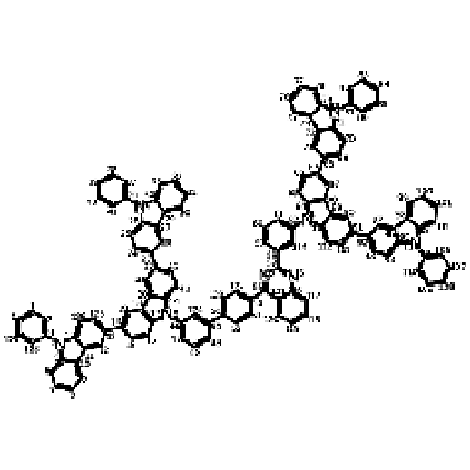 c1ccc(-n2c3ccccc3c3cc(-c4ccc5c(c4)c4cc(-c6ccc7c(c6)c6ccccc6n7-c6ccccc6)ccc4n5-c4cccc(-c5ccc(-c6nc(-c7cccc(-n8c9ccc(-c%10ccc%11c(c%10)c%10ccccc%10n%11-c%10ccccc%10)cc9c9cc(-c%10ccc%11c(c%10)c%10ccccc%10n%11-c%10ccccc%10)ccc98)c7)nc7ccccc67)cc5)c4)ccc32)cc1